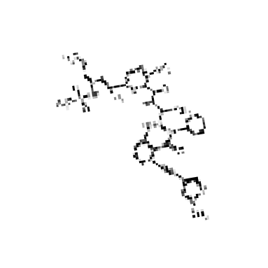 C=N/C=C(\C=C(/C)c1cnc(N)c(C(=O)N[C@@H](C)c2nc3cccc(C#Cc4cnn(C)c4)c3c(=O)n2-c2ccccc2)n1)NS(C)(=O)=O